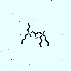 CCCC[N+](C)(CCC)CC(O)C[N+](C)(CCCC)CCCC